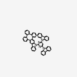 c1ccc2c(c1)-c1ccccc1-c1cc3c4ccccc4n(-c4nc(-n5c6ccccc6c6ccccc65)cc(-n5c6ccccc6c6ccccc65)n4)c3cc1-c1ccccc1-2